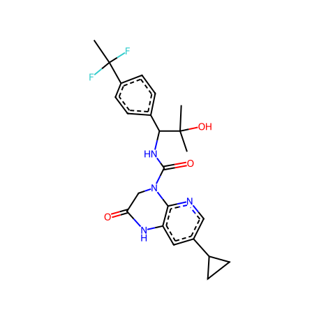 CC(F)(F)c1ccc(C(NC(=O)N2CC(=O)Nc3cc(C4CC4)cnc32)C(C)(C)O)cc1